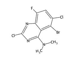 CN(C)c1nc(Cl)nc2c(F)cc(Cl)c(Br)c12